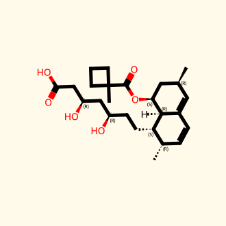 C[C@H]1C=C2C=C[C@H](C)[C@H](CC[C@@H](O)C[C@@H](O)CC(=O)O)[C@H]2[C@@H](OC(=O)C2(C)CCC2)C1